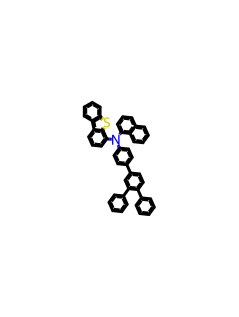 c1ccc(-c2ccc(-c3ccc(N(c4cccc5ccccc45)c4cccc5c4sc4ccccc45)cc3)cc2-c2ccccc2)cc1